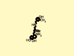 Br.Br.Cc1cc(CCNCCCCCCC2c3ccc(O)c(O)c3CCC2N)ccc1O